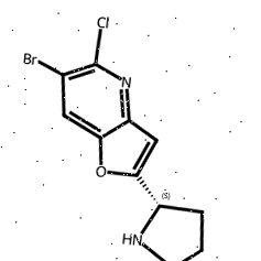 Clc1nc2cc([C@@H]3CCCN3)oc2cc1Br